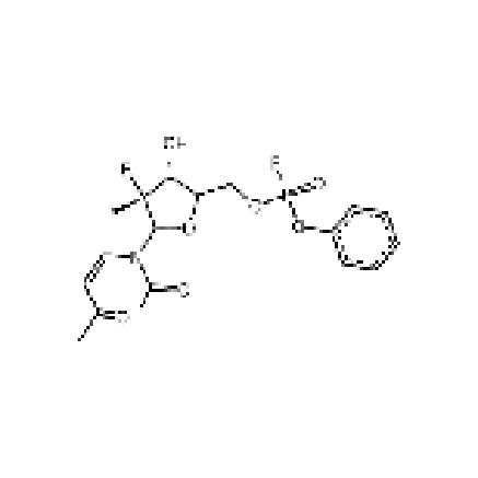 CC(=O)/C=C\N(C(C)=O)C1OC(CO[P@](=O)(F)Oc2ccccc2)[C@@H](O)[C@@]1(C)F